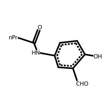 CCCC(=O)Nc1ccc(O)c(C=O)c1